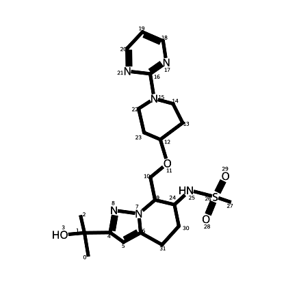 CC(C)(O)c1cc2n(n1)C(COC1CCN(c3ncccn3)CC1)C(NS(C)(=O)=O)CC2